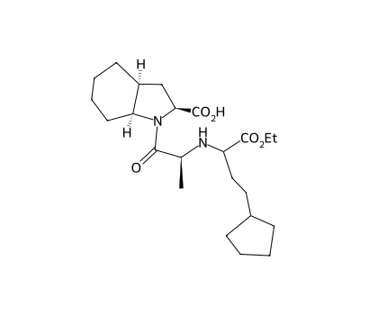 CCOC(=O)C(CCC1CCCC1)N[C@@H](C)C(=O)N1[C@H](C(=O)O)C[C@@H]2CCCC[C@@H]21